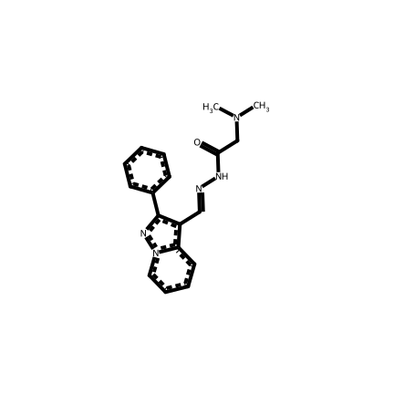 CN(C)CC(=O)NN=Cc1c(-c2ccccc2)nn2ccccc12